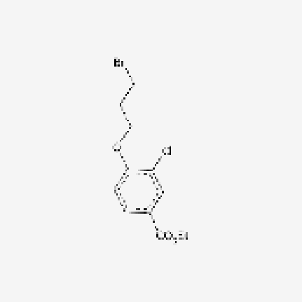 CCOC(=O)c1ccc(OCCCBr)c(Cl)c1